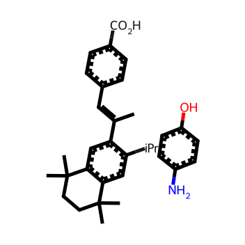 CC(=Cc1ccc(C(=O)O)cc1)c1cc2c(cc1C(C)C)C(C)(C)CCC2(C)C.Nc1ccc(O)cc1